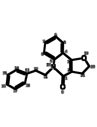 O=c1c2c(c3ccccc3n1CCc1ccccc1)OCC2